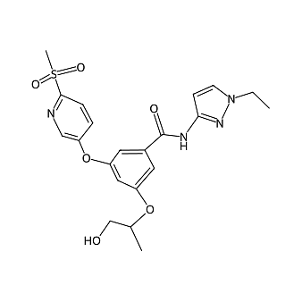 CCn1ccc(NC(=O)c2cc(Oc3ccc(S(C)(=O)=O)nc3)cc(OC(C)CO)c2)n1